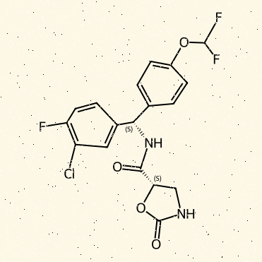 O=C1NC[C@@H](C(=O)N[C@@H](c2ccc(OC(F)F)cc2)c2ccc(F)c(Cl)c2)O1